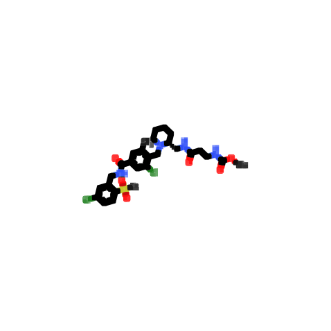 CCS(=O)(=O)c1ccc(Cl)cc1CNC(=O)c1cc(Cl)c(CN2CCCC[C@@H]2CNC(=O)CCNC(=O)OC(C)(C)C)c(C(F)(F)F)c1